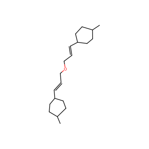 CC1CCC(/C=C/COC/C=C/C2CCC(C)CC2)CC1